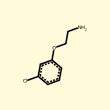 NCCOc1cccc(Cl)c1